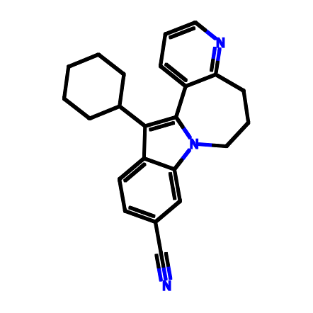 N#Cc1ccc2c(C3CCCCC3)c3n(c2c1)CCCc1ncccc1-3